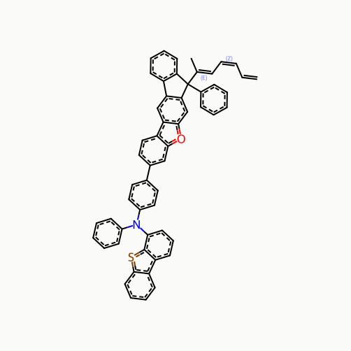 C=C/C=C\C=C(/C)C1(c2ccccc2)c2ccccc2-c2cc3c(cc21)oc1cc(-c2ccc(N(c4ccccc4)c4cccc5c4sc4ccccc45)cc2)ccc13